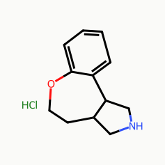 Cl.c1ccc2c(c1)OCCC1CNCC21